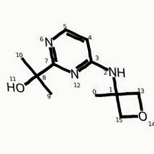 CC1(Nc2ccnc(C(C)(C)O)n2)COC1